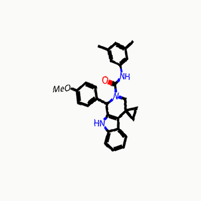 COc1ccc(C2c3[nH]c4ccccc4c3C3(CC3)CN2C(=O)Nc2cc(C)cc(C)c2)cc1